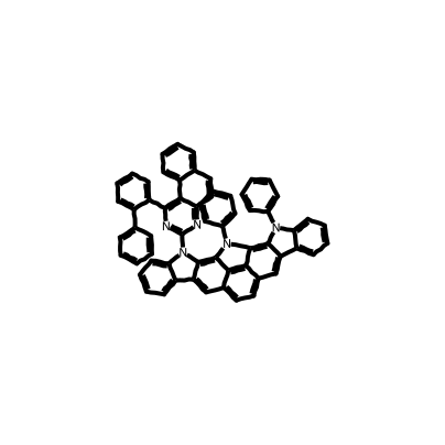 c1ccc(-c2ccccc2-c2nc(-n3c4ccccc4c4cc5ccc6cc7c8ccccc8n(-c8ccccc8)c7c7c6c5c(c43)n7-c3ccccc3)nc3ccc4ccccc4c23)cc1